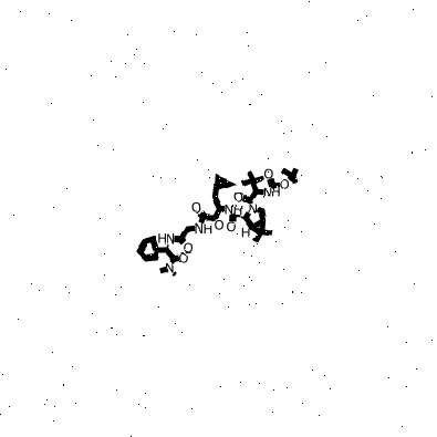 CN(C)C(=O)[C@@H](NC(=O)CNC(=O)C(=O)C(CC1CC1)NC(=O)[C@@H]1[C@@H]2C(CN1C(=O)C(NC(=O)OC(C)(C)C)C(C)(C)C)C2(C)C)c1ccccc1